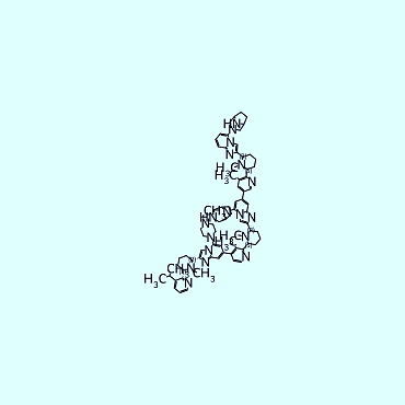 CCN1CCN(c2cc(-c3ccnc([C@@H]4CCC[C@H](c5cn6c(N7C8CCC7CNC8)cc(-c7cnc([C@@H]8CCC[C@H](c9cn%10c(N%11CC%12CCC(C%11)N%12)cccc%10n9)N8C)c(C)c7)cc6n5)N4C)c3C)cc3nc([C@H]4CCC[C@@H](c5ncccc5C(C)C)N4C)cn23)CC1